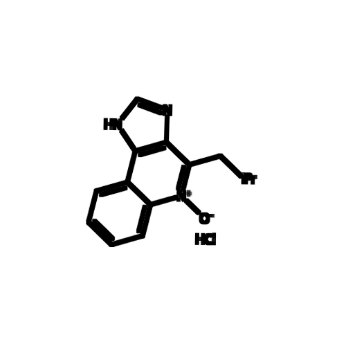 CC(C)Cc1c2nc[nH]c2c2ccccc2[n+]1[O-].Cl